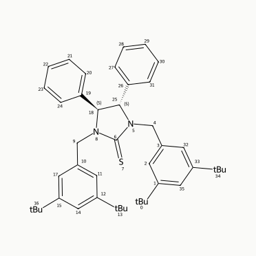 CC(C)(C)c1cc(CN2C(=S)N(Cc3cc(C(C)(C)C)cc(C(C)(C)C)c3)[C@@H](c3ccccc3)[C@@H]2c2ccccc2)cc(C(C)(C)C)c1